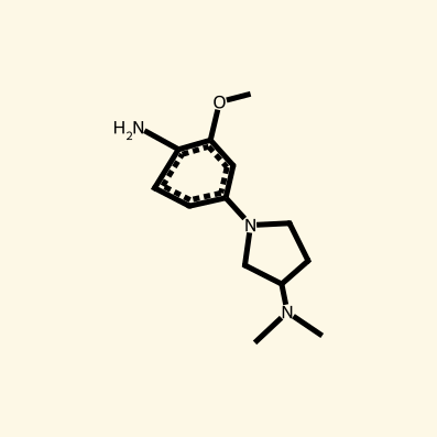 COc1cc(N2CCC(N(C)C)C2)ccc1N